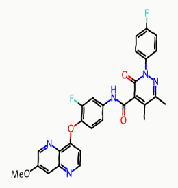 COc1cnc2c(Oc3ccc(NC(=O)c4c(C)c(C)nn(-c5ccc(F)cc5)c4=O)cc3F)ccnc2c1